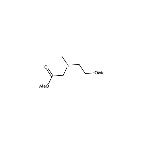 COCCN(C)CC(=O)OC